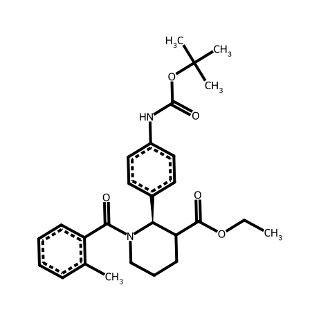 CCOC(=O)C1CCCN(C(=O)c2ccccc2C)[C@H]1c1ccc(NC(=O)OC(C)(C)C)cc1